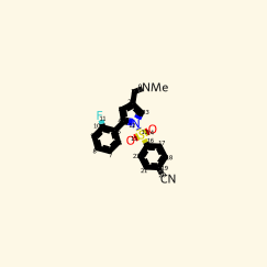 CNCc1cc(-c2ccccc2F)n(S(=O)(=O)c2ccc(C#N)cc2)c1